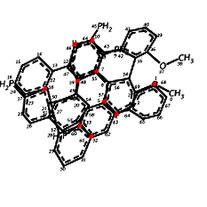 COc1cccc(-c2c(P)ccc(-c3ccccc3)c2Oc2cc(P)ccc2-c2ccccc2)c1-c1c(OC)cccc1-c1c(P)ccc(-c2ccccc2)c1Oc1cc(P)ccc1-c1ccccc1